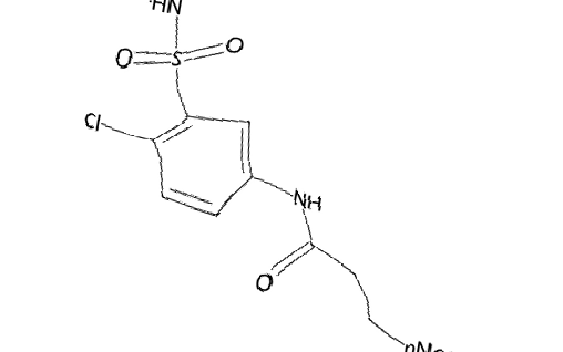 CCCCCCCCCCCC(=O)Nc1ccc(Cl)c(S([NH])(=O)=O)c1